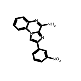 Nc1nc2ccccc2n2cc(-c3cccc([N+](=O)[O-])c3)nc12